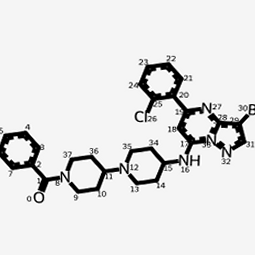 O=C(c1ccccc1)N1CCC(N2CCC(Nc3cc(-c4ccccc4Cl)nc4c(Br)cnn34)CC2)CC1